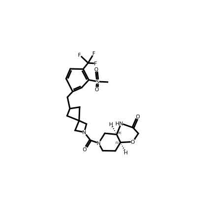 CS(=O)(=O)c1cc(CC2CC3(C2)CN(C(=O)N2CC[C@@H]4OCC(=O)N[C@@H]4C2)C3)ccc1C(F)(F)F